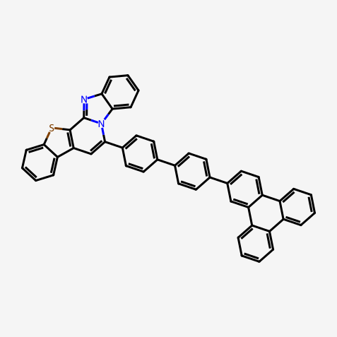 c1ccc2c(c1)nc1c3sc4ccccc4c3cc(-c3ccc(-c4ccc(-c5ccc6c7ccccc7c7ccccc7c6c5)cc4)cc3)n21